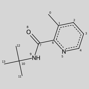 Cc1cccnc1C(=O)NC(C)(C)C